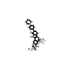 CC1(C)Cc2c([nH]c3c(F)c(-c4ccc(N5CCCCC5)cc4)ccc23)-c2ccc(NS(C)(=O)=O)cc21